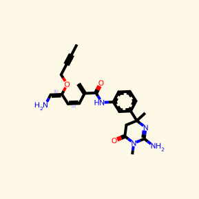 C=C(/C=C\C(=C/N)OCC#CC)C(=O)Nc1cccc(C2(C)CC(=O)N(C)C(N)=N2)c1